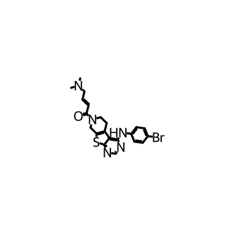 CN(C)C/C=C/C(=O)N1CCc2c(sc3ncnc(Nc4ccc(Br)cc4)c23)C1